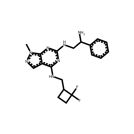 Cn1ncc2c(NCC3CCC3(F)F)nc(NCC(N)c3ccccc3)nc21